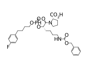 O=C(NCCCC[C@H](O[PH](=O)OCCCCc1ccc(F)cc1)C(=O)N1CCC[C@H]1C(=O)O)OCc1ccccc1